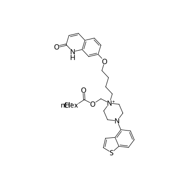 CCCCCCC(=O)OC[N+]1(CCCCOc2ccc3ccc(=O)[nH]c3c2)CCN(c2cccc3sccc23)CC1.[Cl-]